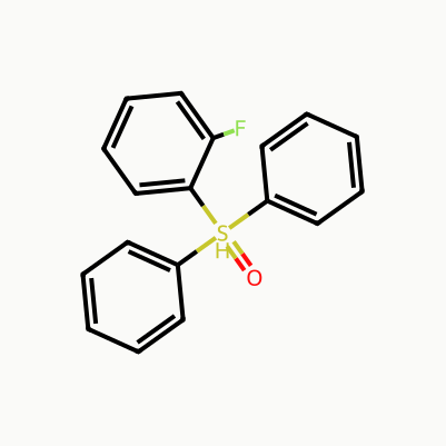 O=[SH](c1ccccc1)(c1ccccc1)c1ccccc1F